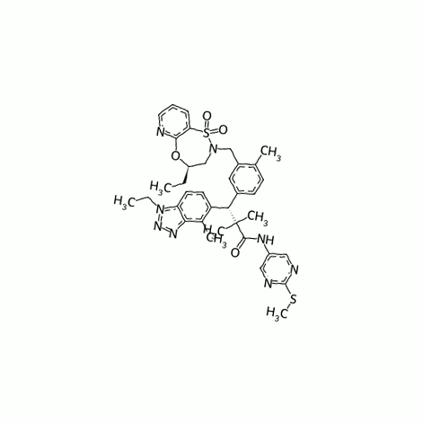 CC[C@@H]1CN(Cc2cc([C@@H](c3ccc4c(nnn4CC)c3C)C(C)(C)C(=O)Nc3cnc(SC)nc3)ccc2C)S(=O)(=O)c2cccnc2O1